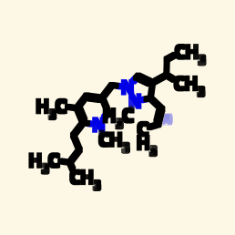 C/C=C\C1C(C(C)CC)=CN(CC2=CC(C)=C(CCC(C)C)N(C)C2)N1C